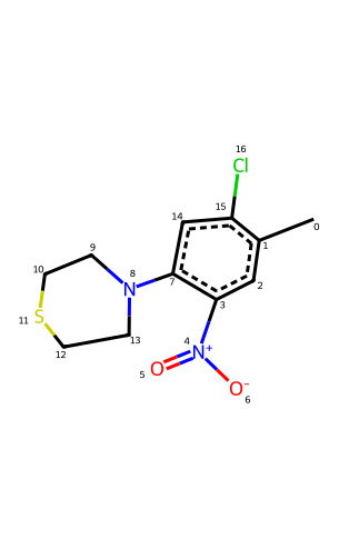 Cc1cc([N+](=O)[O-])c(N2CCSCC2)cc1Cl